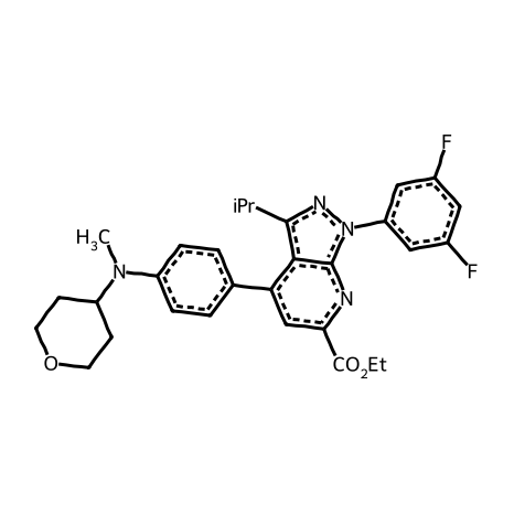 CCOC(=O)c1cc(-c2ccc(N(C)C3CCOCC3)cc2)c2c(C(C)C)nn(-c3cc(F)cc(F)c3)c2n1